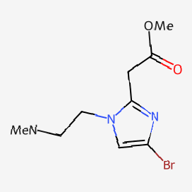 CNCCn1cc(Br)nc1CC(=O)OC